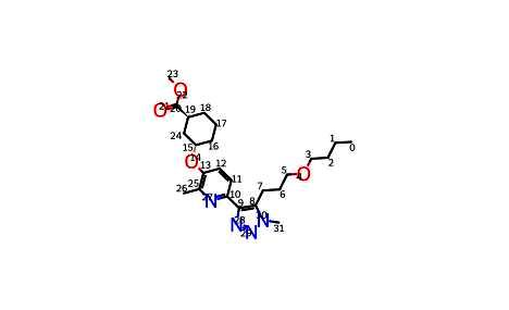 CCCCOCCCc1c(-c2ccc(O[C@H]3CCC[C@H](C(=O)OC)C3)c(C)n2)nnn1C